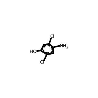 Nc1cc(Cl)c(O)cc1Cl